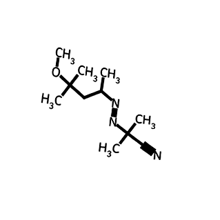 COC(C)(C)CC(C)/N=N/C(C)(C)C#N